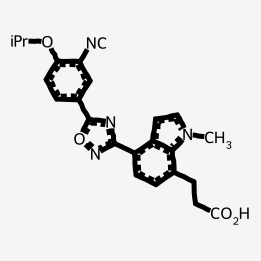 [C-]#[N+]c1cc(-c2nc(-c3ccc(CCC(=O)O)c4c3ccn4C)no2)ccc1OC(C)C